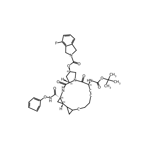 CC(C)(C)OC(=O)N[C@H]1CCCCCC2CC2[C@@H]2C[C@@]2(C(=O)NOc2ccccc2)NC(=O)[C@@H]2C[C@@H](OC(=O)N3Cc4cccc(F)c4C3)CN2C1=O